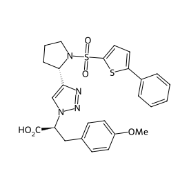 COc1ccc(C[C@@H](C(=O)O)n2cc([C@@H]3CCCN3S(=O)(=O)c3ccc(-c4ccccc4)s3)nn2)cc1